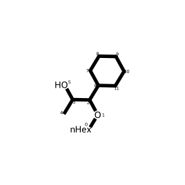 CCCCCCOC(C(C)O)C1CCCCC1